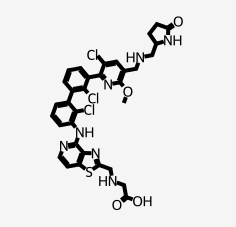 COc1nc(-c2cccc(-c3cccc(Nc4nccc5sc(CNCC(=O)O)nc45)c3Cl)c2Cl)c(Cl)cc1CNCC1CCC(=O)N1